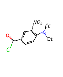 CCN(CC)c1ccc(C(=O)Cl)cc1[N+](=O)[O-]